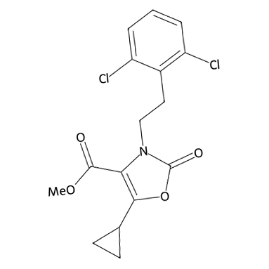 COC(=O)c1c(C2CC2)oc(=O)n1CCc1c(Cl)cccc1Cl